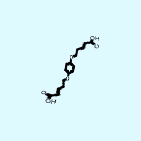 O=C(O)CCCCOc1ccc(OCCCCC(=O)O)cc1